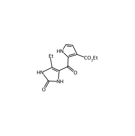 CCOC(=O)c1cc[nH]c1C(=O)c1[nH]c(=O)[nH]c1CC